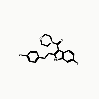 O=C(c1c(CCc2ccc(Cl)cc2)[nH]c2cc(Br)ccc12)N1CCOCC1